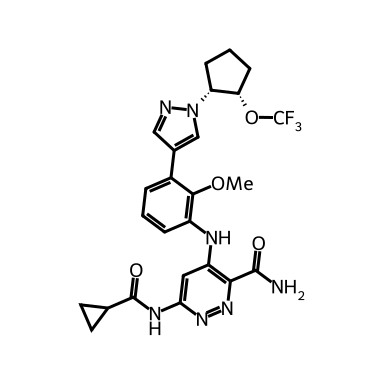 COc1c(Nc2cc(NC(=O)C3CC3)nnc2C(N)=O)cccc1-c1cnn([C@@H]2CCC[C@@H]2OC(F)(F)F)c1